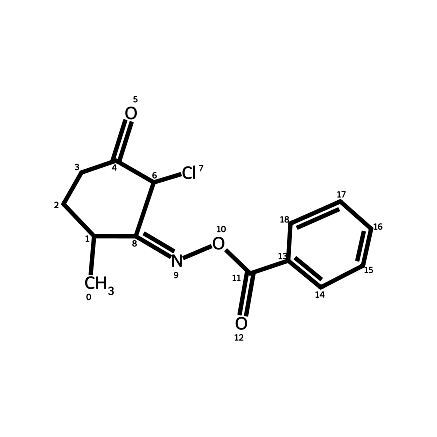 CC1CCC(=O)C(Cl)C1=NOC(=O)c1ccccc1